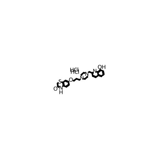 Cl.Cl.O=C1CSc2cc(OCCCN3CCN(Cc4ccc5cccc(O)c5n4)CC3)ccc2N1